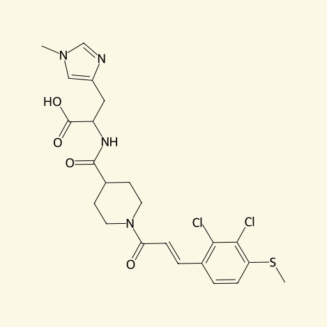 CSc1ccc(C=CC(=O)N2CCC(C(=O)NC(Cc3cn(C)cn3)C(=O)O)CC2)c(Cl)c1Cl